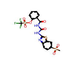 CS(=O)(=O)c1ccc2nc(NC(=O)NC(=O)c3ccccc3OS(=O)(=O)C(F)(F)F)sc2c1